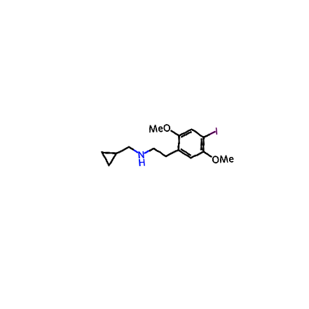 COc1cc(CCNCC2CC2)c(OC)cc1I